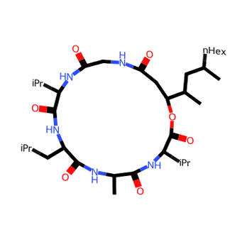 CCCCCCC(C)CC(C)C1CC(=O)NCC(=O)NC(C(C)C)C(=O)NC(CC(C)C)C(=O)NC(C)C(=O)NC(C(C)C)C(=O)O1